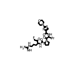 CC(C)C(NC(=O)c1csc(N2CCOCC2)n1)C(=O)N1CCC[C@H]1C(=O)NC(CCCNC(=N)N)C(=O)CF